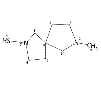 CN1CCC2(CCN(S)C2)C1